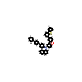 c1ccc(-c2ccc(-c3ccc(N(c4ccc5oc6ccc(-c7cccc8c7sc7ccccc78)cc6c5c4)c4cccc5ccccc45)cc3)cc2)cc1